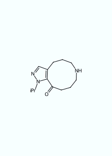 CC(C)n1ncc2c1C(=O)CCCNCCC2